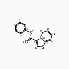 O=C(Sc1ccccc1)C1=CSC2=CC=CCN21